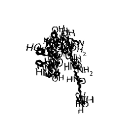 C[C@@H](O)[C@H](NC(=O)[C@H](Cc1ccc(O)cc1)NC(=O)[C@H](Cc1ccccc1)NC(=O)[C@@H]1CCCN1)C(=O)N[C@@H](Cc1ccc(O)cc1)C(=O)N[C@@H](Cc1c[nH]cn1)C(=O)N[C@@H](Cc1c[nH]c2ccccc12)C(=O)N[C@@H](Cc1ccc(O)cc1)C(=O)N[C@@H](CO)C(=O)N[C@@H](CCCCN)C(=O)NCC(=O)NCC(=O)NCC(=O)N[C@@H](CCCCNC(=O)CCCC[C@@H]1SC[C@@H]2NC(=O)N[C@@H]21)C(N)=O